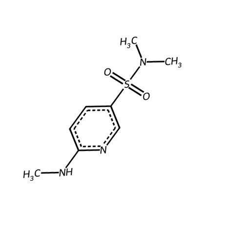 CNc1ccc(S(=O)(=O)N(C)C)cn1